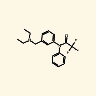 CCN(CC)Cc1cccc(N(C(=O)C(F)(F)F)c2ccccc2)c1